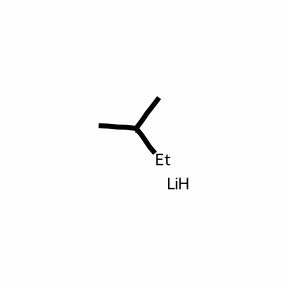 CC[C](C)C.[LiH]